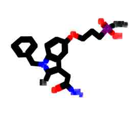 CCc1c(CC(N)=O)c2cc(OCCCP(=O)(O)OC)ccc2n1Cc1ccccc1